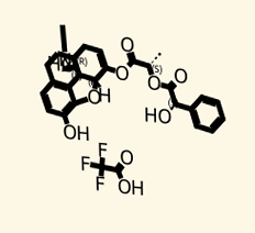 C[C@H](OC(=O)[C@@H](O)c1ccccc1)C(=O)OC1=CC[C@]2(O)C3Cc4ccc(O)c5c4[C@@]2(CCN3C)[C@H]1O5.O=C(O)C(F)(F)F